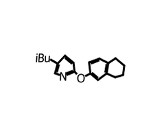 CCC(C)c1ccc(Oc2ccc3c(c2)CCCC3)nc1